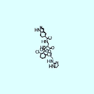 O=C(NCC(NS(=O)(=O)c1c(Cl)cccc1Cl)C(=O)OCCCNC1=NCCN1)c1ccc2[nH]ncc2c1